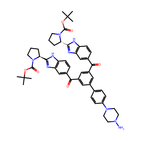 CC(C)(C)OC(=O)N1CCC[C@H]1c1nc2cc(C(=O)c3cc(C(=O)c4ccc5[nH]c([C@@H]6CCCN6C(=O)OC(C)(C)C)nc5c4)cc(-c4ccc(N5CCN(N)CC5)cc4)c3)ccc2[nH]1